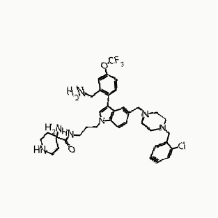 NCc1cc(OC(F)(F)F)ccc1-c1cn(CCCNC(=O)C2(N)CCNCC2)c2ccc(CN3CCN(Cc4ccccc4Cl)CC3)cc12